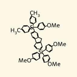 COc1ccc([Si](c2ccc(C)cc2)(c2ccc(C)cc2)c2ccc3c(c2)Cc2cc([Si](c4ccc(OC)cc4)(c4ccc(OC)cc4)c4ccc(OC)cc4)ccc2-3)cc1